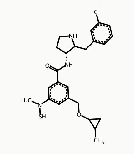 CC1CC1OCc1cc(C(=O)N[C@@H]2CCNC2Cc2cccc(Cl)c2)cc(N(C)S)c1